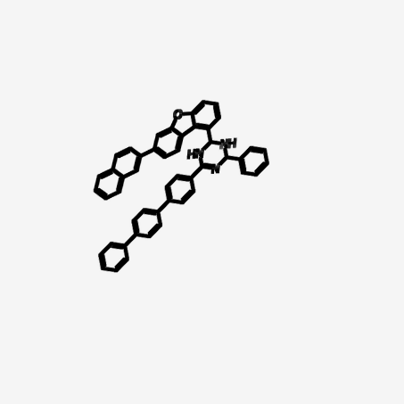 c1ccc(-c2ccc(-c3ccc(C4=NC(c5ccccc5)NC(c5cccc6oc7cc(-c8ccc9ccccc9c8)ccc7c56)N4)cc3)cc2)cc1